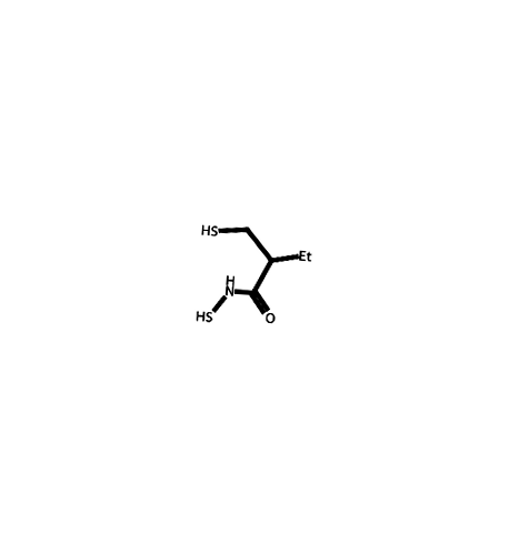 CCC(CS)C(=O)NS